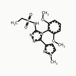 CCS(=O)(=O)Nc1nnc(-c2ccn(C)n2)n1-c1c(OC)cccc1OC